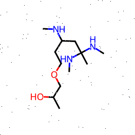 CNC(CCOCC(C)O)CC(C)(NC)NC